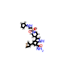 NC(=O)c1cc(-c2ccsc2)cc2c(C3CCN(S(=O)(=O)CCNC4CCCC4)CC3)c[nH]c12